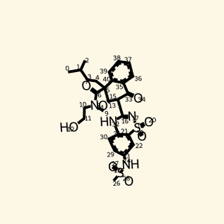 CC(C)CCC1(C(=O)N(C)CCO)C(=O)C(C2=NS(=O)(=O)c3cc(NS(C)(=O)=O)ccc3N2)C(=O)c2ccccc21